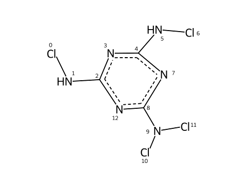 ClNc1nc(NCl)nc(N(Cl)Cl)n1